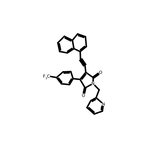 O=C1C(C#Cc2cccc3ccccc23)=C(c2ccc(C(F)(F)F)cc2)C(=O)N1Cc1ccccn1